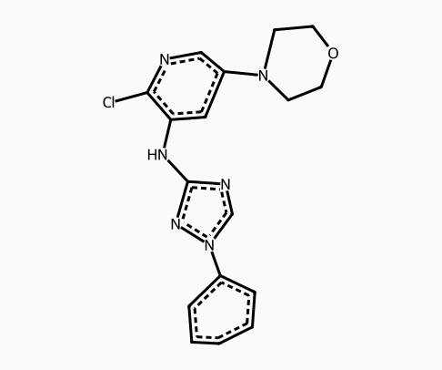 Clc1ncc(N2CCOCC2)cc1Nc1ncn(-c2ccccc2)n1